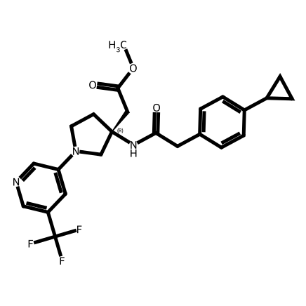 COC(=O)C[C@]1(NC(=O)Cc2ccc(C3CC3)cc2)CCN(c2cncc(C(F)(F)F)c2)C1